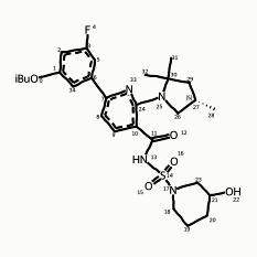 CC(C)COc1cc(F)cc(-c2ccc(C(=O)NS(=O)(=O)N3CCCC(O)C3)c(N3C[C@@H](C)CC3(C)C)n2)c1